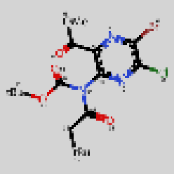 COC(=O)c1nc(Br)c(Cl)nc1N(C(=O)CC(C)(C)C)C(=O)OC(C)(C)C